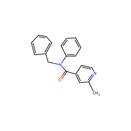 Cc1cc(C(=O)N(Cc2ccccc2)c2ccccc2)ccn1